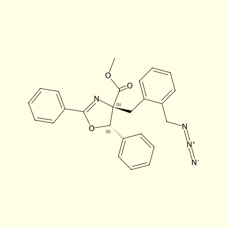 COC(=O)[C@@]1(Cc2ccccc2CN=[N+]=[N-])N=C(c2ccccc2)O[C@H]1c1ccccc1